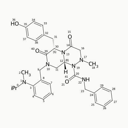 CC(C)N(C)c1ccccc1CN1C[C@@H]2N(C(=O)CN(C)N2C(=O)NCc2ccccc2)[C@@H](Cc2ccc(O)cc2)C1=O